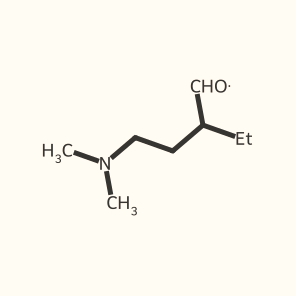 CCC([C]=O)CCN(C)C